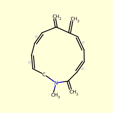 C=C1/C=C\C=C/CN(C)C(=C)/C=C\C=C/C1=C